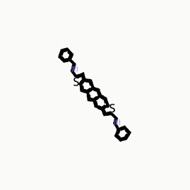 C(=C\c1cc2cc3cc4cc5sc(/C=C/c6ccccc6)cc5cc4cc3cc2s1)/c1ccccc1